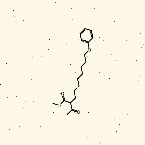 COC(=O)C(CCCCCCCCOc1ccccc1)C(C)=O